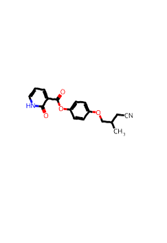 CC(CC#N)COc1ccc(OC(=O)c2ccc[nH]c2=O)cc1